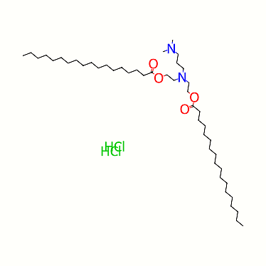 CCCCCCCCCCCCCCCCCC(=O)OCCN(CCCN(C)C)CCOC(=O)CCCCCCCCCCCCCCCCC.Cl.Cl